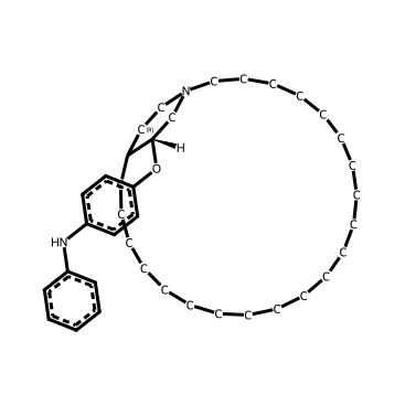 c1ccc(Nc2ccc(O[C@H]3CN4CCCCCCCCCCCCCCCCCCCCCC3CC4)cc2)cc1